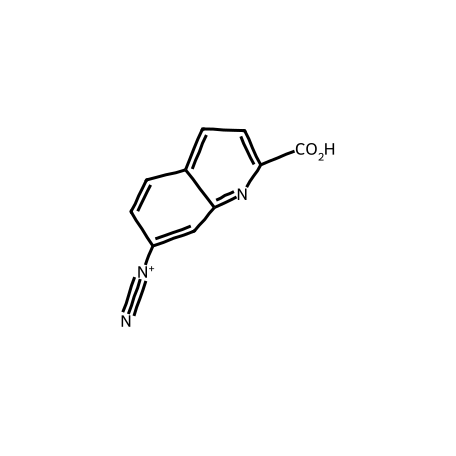 N#[N+]c1ccc2ccc(C(=O)O)nc2c1